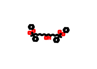 CC(CCCCCC(O)CCCCCC(C)(C(=O)Oc1ccccc1)c1ccccc1)(C(=O)Oc1ccccc1)c1ccccc1